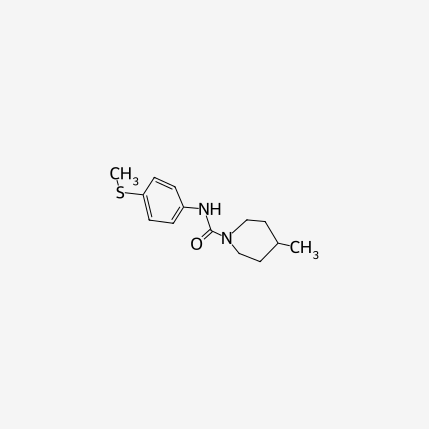 CSc1ccc(NC(=O)N2CCC(C)CC2)cc1